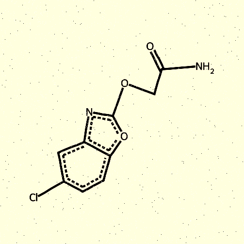 NC(=O)COc1nc2cc(Cl)ccc2o1